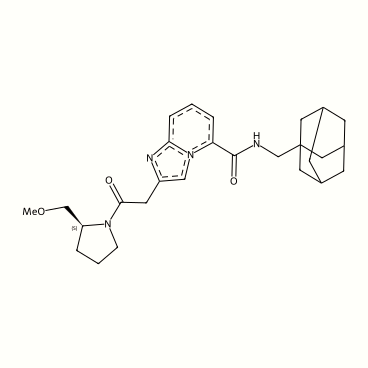 COC[C@@H]1CCCN1C(=O)Cc1cn2c(C(=O)NCC34CC5CC(CC(C5)C3)C4)cccc2n1